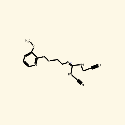 C#CCN/C(=N/CCSCc1ncccc1OC)NC#N